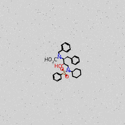 O=C(O)N(Cc1ccccc1)[C@@H](Cc1ccccc1)[C@H](O)CN(C1CCCCC1)S(=O)(=O)c1ccccc1